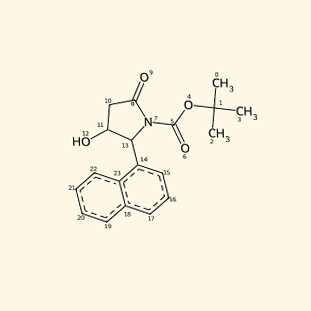 CC(C)(C)OC(=O)N1C(=O)CC(O)C1c1cccc2ccccc12